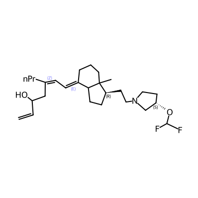 C=CC(O)C/C(=C\C=C1/CCCC2(C)C1CC[C@@H]2CCN1CC[C@H](OC(F)F)C1)CCC